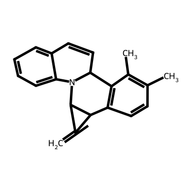 C=C1C2c3ccc(C)c(C)c3C3C=Cc4ccccc4N3C12